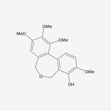 COc1ccc2c(c1O)COCc1cc(OC)c(OC)c(OC)c1-2